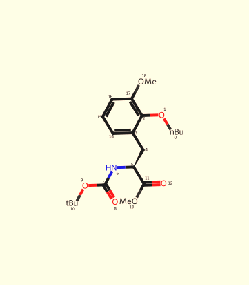 CCCCOc1c(C[C@H](NC(=O)OC(C)(C)C)C(=O)OC)cccc1OC